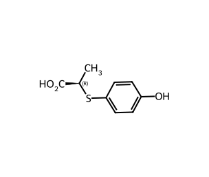 C[C@@H](Sc1ccc(O)cc1)C(=O)O